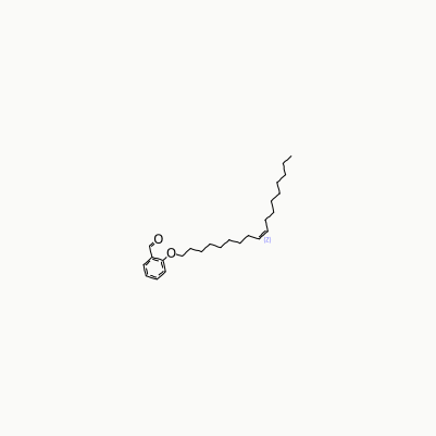 CCCCCCCC/C=C\CCCCCCCCOc1ccccc1C=O